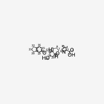 O=C(O)c1csc([C@H]2CC[C@@H]3[C@@H](COc4ccc5c(c4)CCC5)[C@@H](O)C[C@@H]3O2)n1